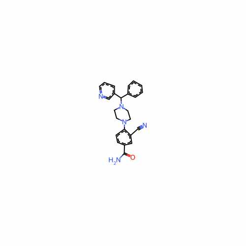 N#Cc1cc(C(N)=O)ccc1N1CCN(C(c2ccccc2)c2cccnc2)CC1